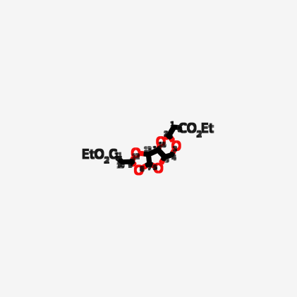 CCOC(=O)CC1OCC2OC3OC(CC(=O)OCC)OC3C2O1